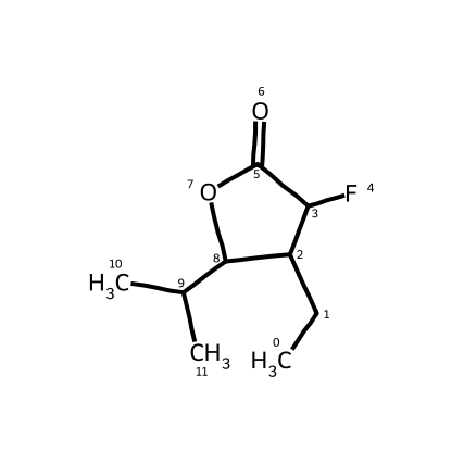 CCC1C(F)C(=O)OC1C(C)C